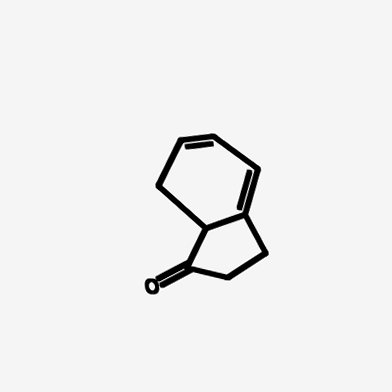 O=C1CCC2=CC=CCC12